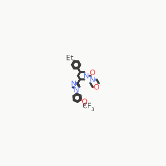 CCc1ccc(C2CC(c3cn(-c4cccc(OC(F)(F)F)c4)cn3)CN(C(=O)N3CCOCC3)C2)cc1